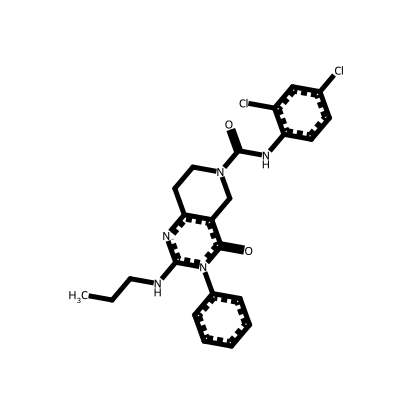 CCCNc1nc2c(c(=O)n1-c1ccccc1)CN(C(=O)Nc1ccc(Cl)cc1Cl)CC2